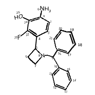 Nc1ccc(C2CCN2C(c2ccccc2)c2ccccc2)c(F)c1O